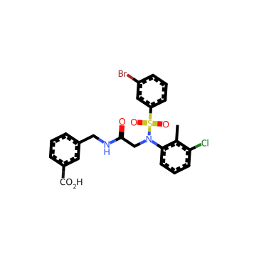 Cc1c(Cl)cccc1N(CC(=O)NCc1cccc(C(=O)O)c1)S(=O)(=O)c1cccc(Br)c1